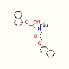 CCCCN(CC(O)COc1ccc2ccccc2c1)CC(O)COc1cccc2ccccc12